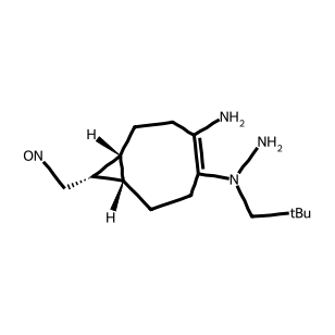 CC(C)(C)CN(N)/C1=C(\N)CC[C@@H]2[C@H](CC1)[C@@H]2CN=O